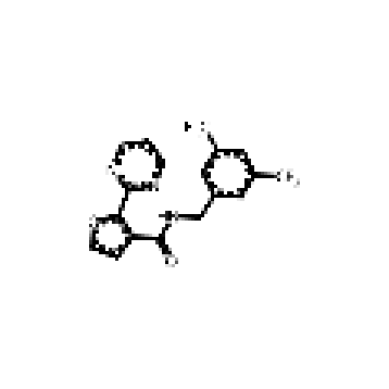 O=C(NCc1cc(C(F)(F)F)cc(C(F)(F)F)c1)c1ccoc1-c1ncccn1